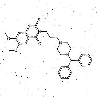 COc1cc2[nH]c(=S)n(CCCN3CCN(C(c4ccccc4)c4ccccc4)CC3)c(=O)c2cc1OC